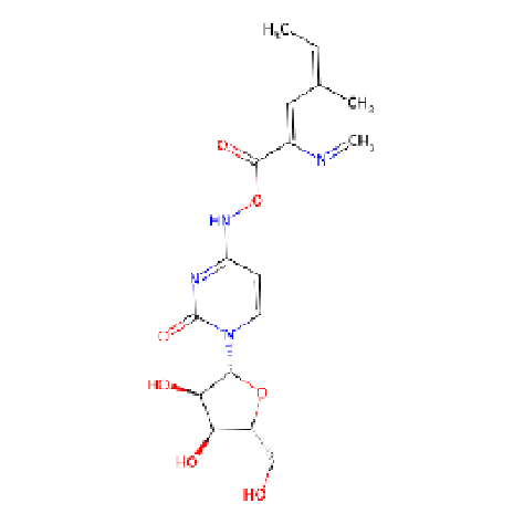 C=N/C(=C\C(C)=C/C)C(=O)ONc1ccn([C@@H]2O[C@H](CO)[C@@H](O)[C@H]2O)c(=O)n1